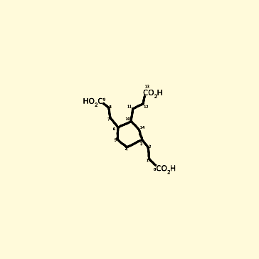 O=C(O)CCC1CCC(CCC(=O)O)C(CCC(=O)O)C1